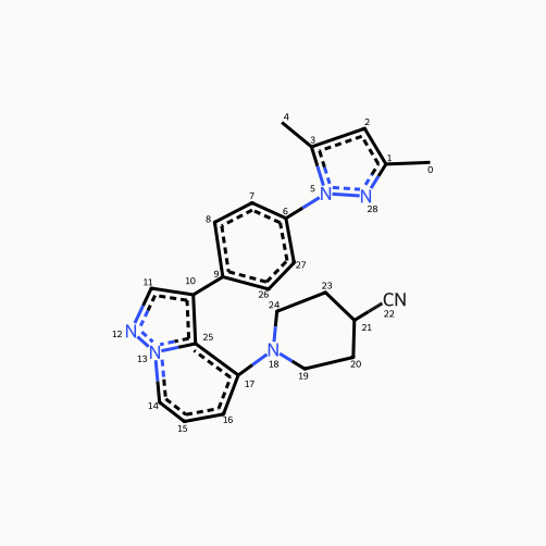 Cc1cc(C)n(-c2ccc(-c3cnn4cccc(N5CCC(C#N)CC5)c34)cc2)n1